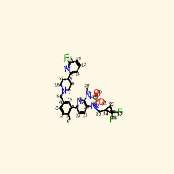 Cc1ccc(CN2CCC(c3cccc(F)n3)CC2)cc1-c1ccc2c(n1)N(C)S(=O)(=O)N2CC1CC1(F)F